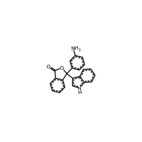 Nc1cccc(C2(c3c[nH]c4ccccc34)OC(=O)c3ccccc32)c1